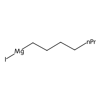 CCCCCC[CH2][Mg][I]